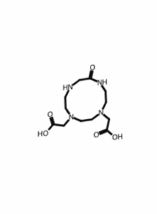 O=C(O)CN1CCNCC(=O)NCCN(CC(=O)O)CC1